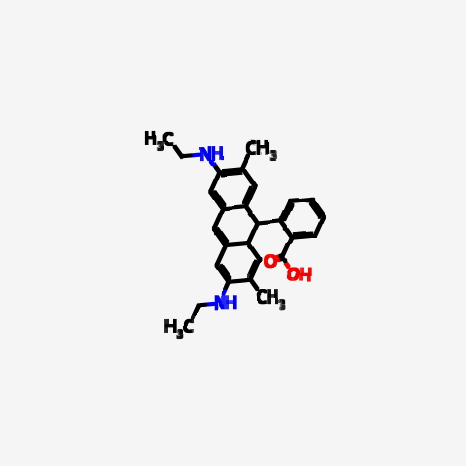 CCNC1=CC2=Cc3cc(NCC)c(C)cc3C(c3ccccc3C(=O)O)C2C=C1C